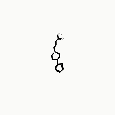 NC(=O)CCCN1CCC(c2ccccc2)CC1